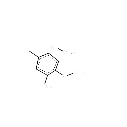 CCOC(=O)O.COc1cc(C)ccc1OC(=O)O